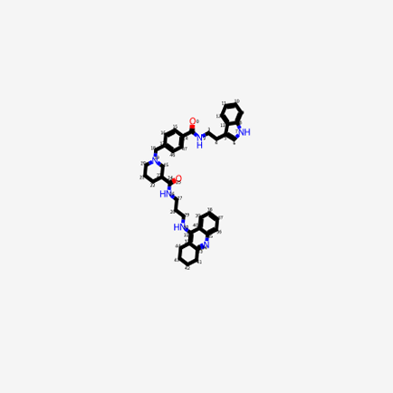 O=C(NCCc1c[nH]c2ccccc12)c1ccc(CN2CCCC(C(=O)NCCCNc3c4c(nc5ccccc35)CCCC4)C2)cc1